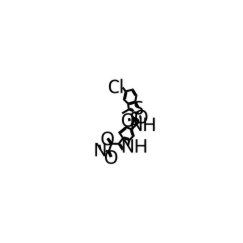 Cc1c(S(=O)(=O)Nc2ccc3c(C(=O)C(=O)N(C)C)c[nH]c3c2)sc2ccc(Cl)cc12